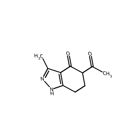 CC(=O)C1CCc2[nH]nc(C)c2C1=O